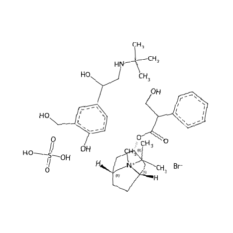 CC(C)(C)NCC(O)c1ccc(O)c(CO)c1.CC(C)[N+]1(C)[C@@H]2CC[C@H]1C[C@@H](OC(=O)C(CO)c1ccccc1)C2.O=S(=O)(O)O.[Br-]